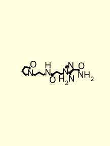 NC(=O)c1ncn(CCC(=O)NCCCN2CCCC2=O)c1N